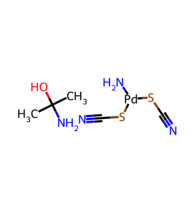 CC(C)(N)O.N#C[S][Pd]([NH2])[S]C#N